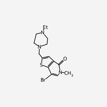 CCN1CCN(Cc2cc3c(=O)n(C)cc(Br)c3s2)CC1